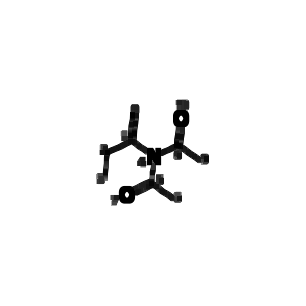 C=C(CC)N(C(C)=O)C(C)=O